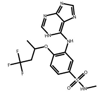 CNS(=O)(=O)c1ccc(OC(C)CC(F)(F)F)c(Nc2[nH]cnc3ncnc2-3)c1